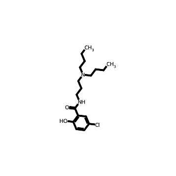 CCCCN(CCCC)CCCNC(=O)c1cc(Cl)ccc1O